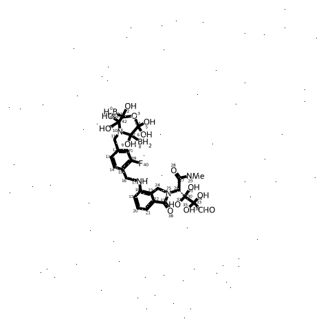 BC1(O)OC(O)(O)C(B)(O)N(Cc2ccc(CNc3cccc4c3CN([C@H](C(=O)NC)C(O)(O)C(O)(O)C=O)C4=O)c(F)c2)C1(O)O